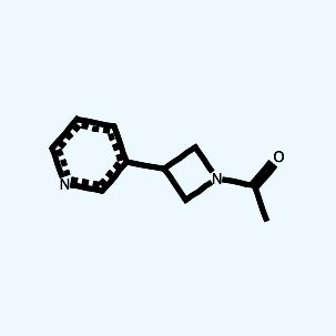 CC(=O)N1CC(c2c[c]cnc2)C1